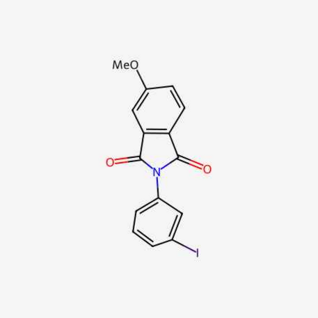 COc1ccc2c(c1)C(=O)N(c1cccc(I)c1)C2=O